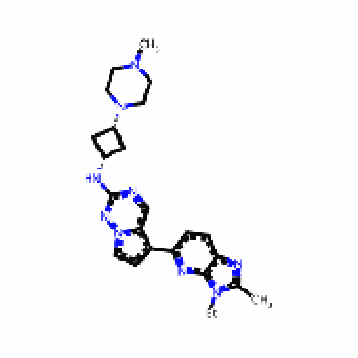 CCn1c(C)nc2ccc(-c3ccn4nc(N[C@H]5C[C@@H](N6CCN(C)CC6)C5)ncc34)nc21